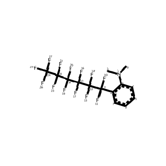 CN(C)c1ccccc1C(F)(F)C(F)(F)C(F)(F)C(F)(F)C(F)(F)C(F)(F)F